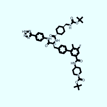 Cc1c(F)cc(C(=O)NC2CCN(C(=O)OC(C)(C)C)CC2)cc1-c1ccc(C[C@H](NC(=O)[C@H]2CC[C@H](CNC(=O)OC(C)(C)C)CC2)C(=O)Nc2ccc(-c3nn[nH]n3)cc2)cc1